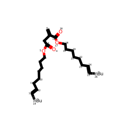 C=C(CC(=O)OCCCCCCC=CCCCC)C(=O)OCCCCCCC=CCCCC